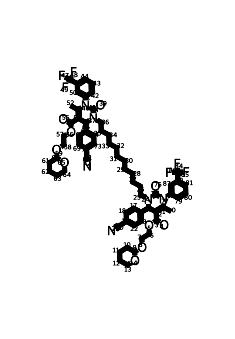 CC1=C(C(=O)OCCOC2CCCCO2)C(c2ccc(C#N)cc2)N(CCCCCCCCCCCCN2C(=O)N(c3cccc(C(F)(F)F)c3)C(C)=C(C(=O)OCCOC3CCCCO3)C2c2ccc(C#N)cc2)C(=O)N1c1cccc(C(F)(F)F)c1